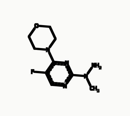 CN(N)c1ncc(F)c(N2CCOCC2)n1